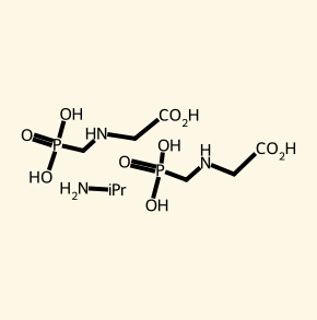 CC(C)N.O=C(O)CNCP(=O)(O)O.O=C(O)CNCP(=O)(O)O